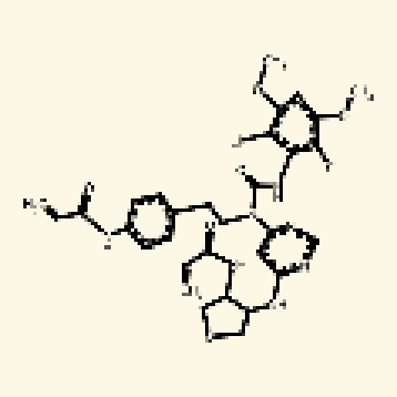 C=CC(=O)Nc1ccc(CCN(C(=O)Nc2c(Cl)c(OC)cc(OC)c2Cl)c2cc(NC3COCC3NC(=O)C=C)ncn2)cc1